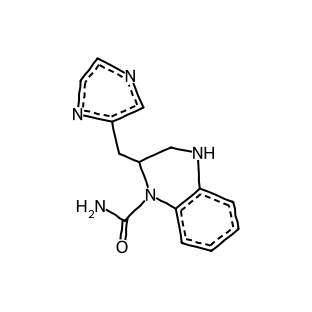 NC(=O)N1c2ccccc2NCC1Cc1cnccn1